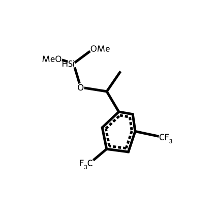 CO[SiH](OC)OC(C)c1cc(C(F)(F)F)cc(C(F)(F)F)c1